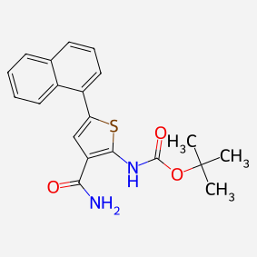 CC(C)(C)OC(=O)Nc1sc(-c2cccc3ccccc23)cc1C(N)=O